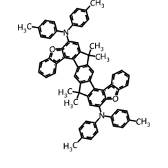 Cc1ccc(N(c2ccc(C)cc2)c2cc3c(c4c2oc2ccccc24)-c2cc4c(cc2C3(C)C)-c2c(cc(N(c3ccc(C)cc3)c3ccc(C)cc3)c3oc5ccccc5c23)C4(C)C)cc1